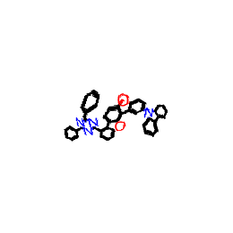 c1ccc(-c2nc(-c3ccccc3)nc(-c3cccc4oc5c(ccc6oc7ccc(-n8c9ccccc9c9ccccc98)cc7c65)c34)n2)cc1